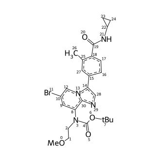 COCCN(C(=O)OC(C)(C)C)c1cc(Br)cn2c(-c3ccc(C(=O)NC4CC4)c(C)c3)cnc12